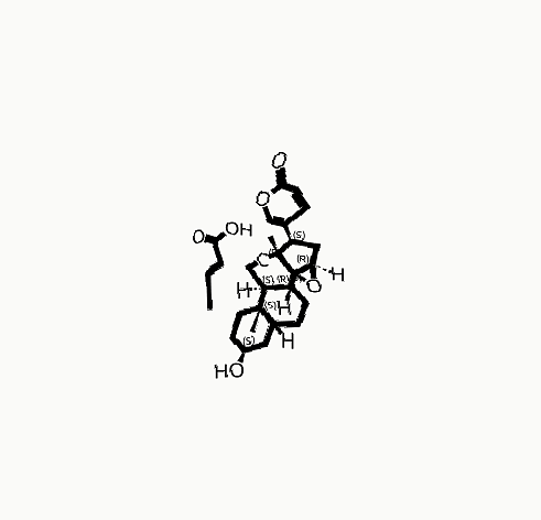 CCCC(=O)O.C[C@]12CC[C@H](O)C[C@H]1CC[C@@H]1[C@@H]2CC[C@]2(C)[C@@H](c3ccc(=O)oc3)C[C@H]3O[C@]132